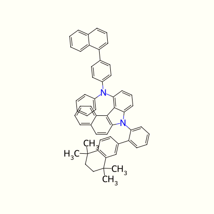 CC1(C)CCC(C)(C)c2cc(-c3ccccc3-n3c4cccc(N(c5ccccc5)c5ccc(-c6cccc7ccccc67)cc5)c4c4c5ccccc5ccc43)ccc21